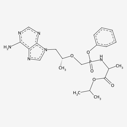 CC(C)OC(=O)C(C)NP(=O)(CO[C@H](C)Cn1cnc2c(N)ncnc21)Oc1ccccc1